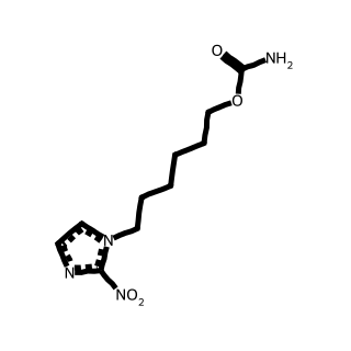 NC(=O)OCCCCCCn1ccnc1[N+](=O)[O-]